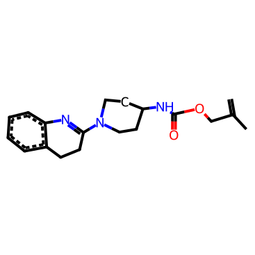 C=C(C)COC(=O)NC1CCN(C2=Nc3ccccc3CC2)CC1